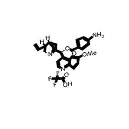 C=C[C@H]1C[N@@]2CC[C@@H]1CC2[C@H](OC(=O)c1ccc(N)cc1)c1ccnc2ccc(OC)cc12.O=C(O)C(F)(F)F